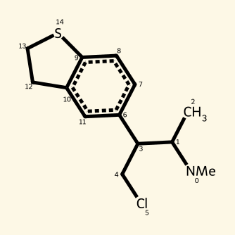 CNC(C)C(CCl)c1ccc2c(c1)CCS2